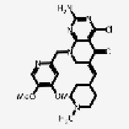 COc1cnc(CN2C/C(=C\C3CCN(C)CC3)C(=O)c3c(Cl)nc(N)nc32)cc1OC